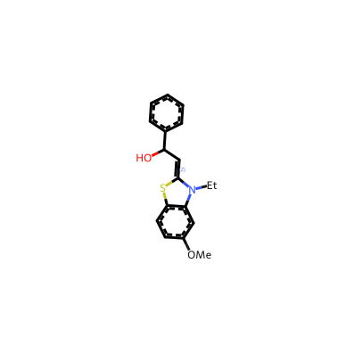 CCN1/C(=C/C(O)c2ccccc2)Sc2ccc(OC)cc21